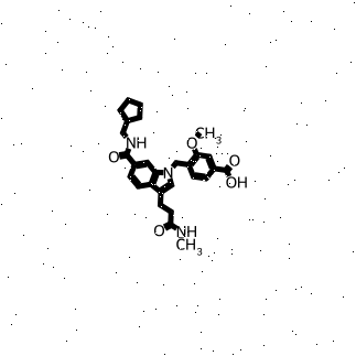 CNC(=O)CCc1cn(Cc2ccc(C(=O)O)cc2OC)c2cc(C(=O)NCC3CCCC3)ccc12